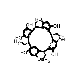 CC[C@H]1c2cc(c(O)cc2O)[C@@H](CC)c2cc(c(O)cc2O)[C@@H](CC)c2cc(c(O)cc2O)[C@@H](CC)c2cc1c(O)cc2O